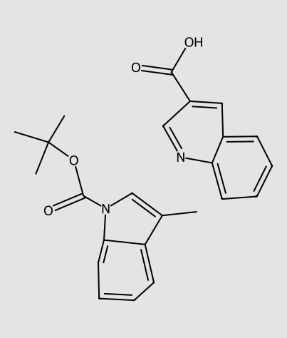 Cc1cn(C(=O)OC(C)(C)C)c2ccccc12.O=C(O)c1cnc2ccccc2c1